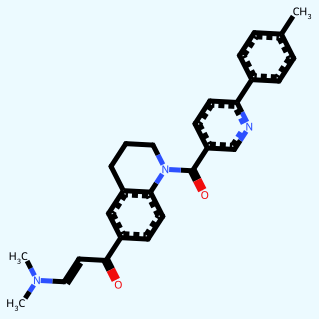 Cc1ccc(-c2ccc(C(=O)N3CCCc4cc(C(=O)/C=C/N(C)C)ccc43)cn2)cc1